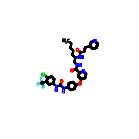 CCCCCC(CNC(=O)c1cc(Oc2ccc(NC(=O)Nc3ccc(Cl)c(C(F)(F)F)c3)cc2)ccn1)NC(=O)C=Cc1cccnc1